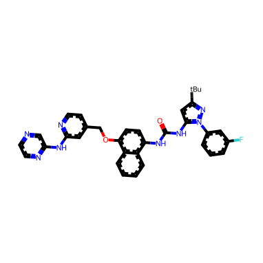 CC(C)(C)c1cc(NC(=O)Nc2ccc(OCc3ccnc(Nc4cnccn4)c3)c3ccccc23)n(-c2cccc(F)c2)n1